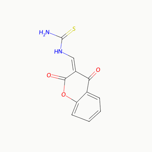 NC(=S)N/C=C1\C(=O)Oc2ccccc2C1=O